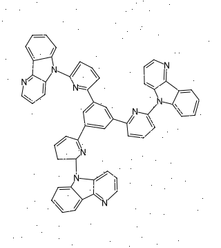 C1=CC(c2cc(-c3cccc(-n4c5ccccc5c5ncccc54)n3)cc(-c3cccc(-n4c5ccccc5c5ncccc54)n3)c2)=NC(n2c3ccccc3c3ncccc32)C1